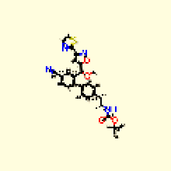 COC(c1cc(-c2nccs2)no1)c1cc(C#N)ccc1-c1ccc(CCNC(=O)OC(C)(C)C)cc1